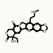 CCC1(O)C(=O)OCc2c1cc1n(c2=O)Cc2c-1nc1cc3c(cc1c2CCNC)OCO3